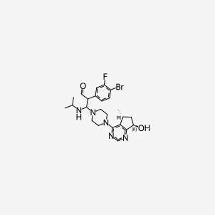 CC(C)NC(C(C=O)c1ccc(Br)c(F)c1)N1CCN(c2ncnc3c2[C@H](C)C[C@H]3O)CC1